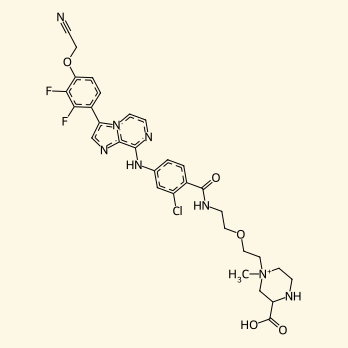 C[N+]1(CCOCCNC(=O)c2ccc(Nc3nccn4c(-c5ccc(OCC#N)c(F)c5F)cnc34)cc2Cl)CCNC(C(=O)O)C1